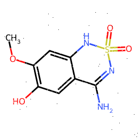 COc1cc2c(cc1O)C(N)=NS(=O)(=O)N2